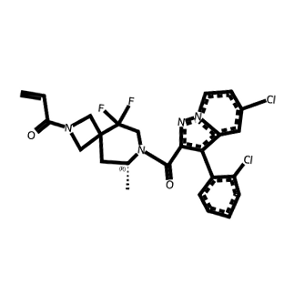 C=CC(=O)N1CC2(C[C@@H](C)N(C(=O)c3nn4ccc(Cl)cc4c3-c3ccccc3Cl)CC2(F)F)C1